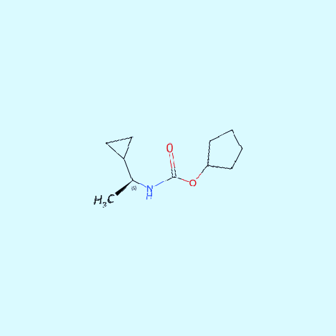 C[C@H](NC(=O)OC1CCCC1)C1CC1